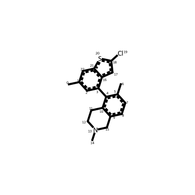 Cc1cc(-c2c(C)ccc3c2CCN(C)C3)c2cc(Cl)sc2c1